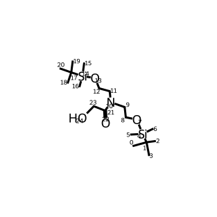 CC(C)(C)[Si](C)(C)OCCN(CCO[Si](C)(C)C(C)(C)C)C(=O)CO